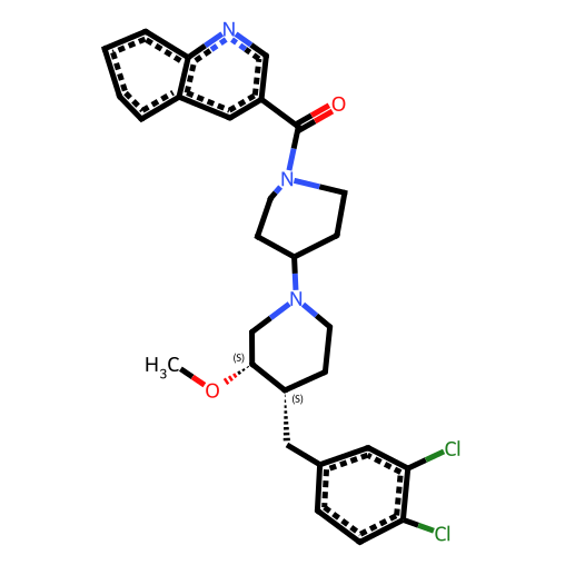 CO[C@@H]1CN(C2CCN(C(=O)c3cnc4ccccc4c3)CC2)CC[C@@H]1Cc1ccc(Cl)c(Cl)c1